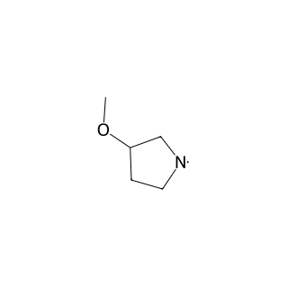 COC1CC[N]C1